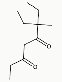 CCC(=O)CC(=O)C(C)(CC)CC